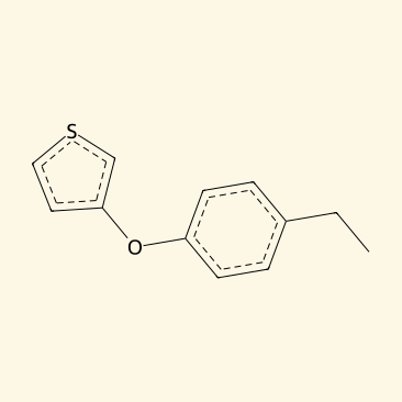 CCc1ccc(Oc2ccsc2)cc1